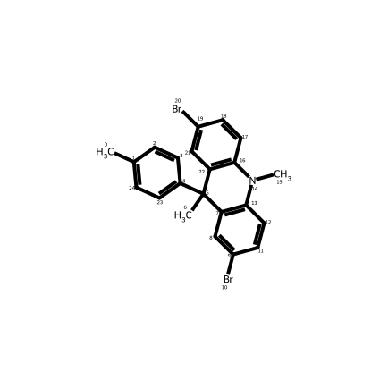 Cc1ccc(C2(C)c3cc(Br)ccc3N(C)c3ccc(Br)cc32)cc1